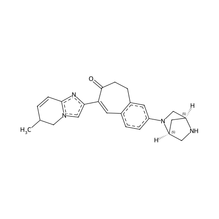 CC1C=Cc2nc(C3=Cc4ccc(N5C[C@@H]6C[C@H]5CN6)cc4CCC3=O)cn2C1